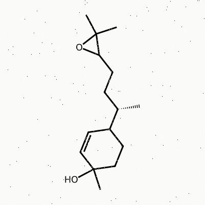 C[C@@H](CCC1OC1(C)C)C1C=CC(C)(O)CC1